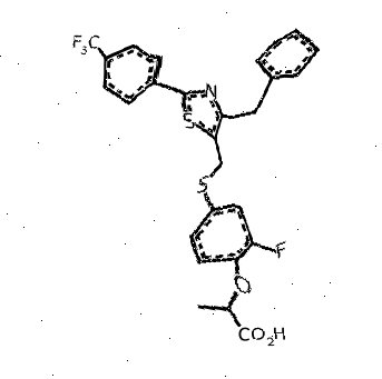 CC(Oc1ccc(SCc2sc(-c3ccc(C(F)(F)F)cc3)nc2Cc2ccccc2)cc1F)C(=O)O